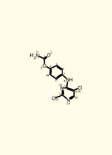 NC(=O)Oc1ccc(Nc2nc(Cl)ncc2Cl)cc1